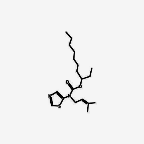 CCCCCCCC(CC)OC(=O)N(CC=C(C)C)c1cncs1